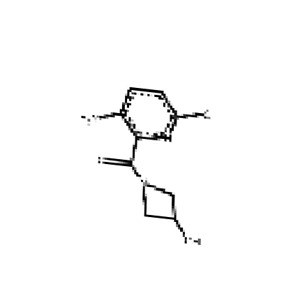 Nc1ccc(Cl)nc1C(=O)N1CC(O)C1